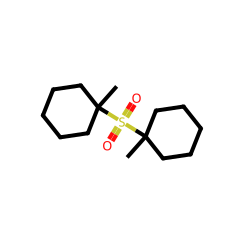 CC1(S(=O)(=O)C2(C)CCCCC2)CCCCC1